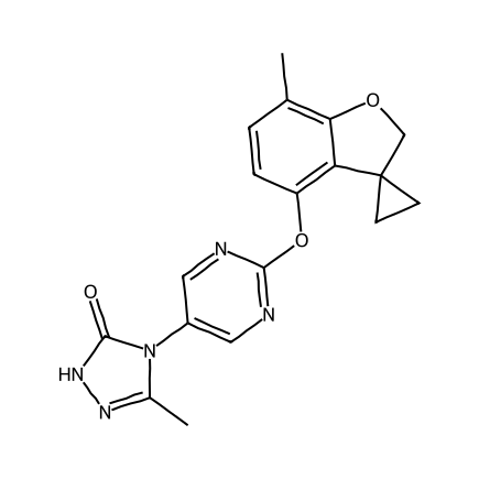 Cc1ccc(Oc2ncc(-n3c(C)n[nH]c3=O)cn2)c2c1OCC21CC1